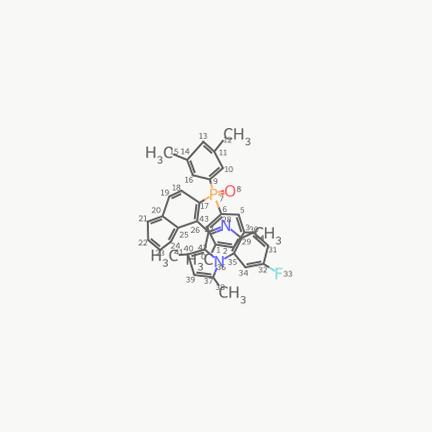 Cc1cc(C)cc(P(=O)(c2cc(C)cc(C)c2)c2ccc3ccccc3c2-c2nc3ccc(F)cc3n3c(C)cc(C)c23)c1